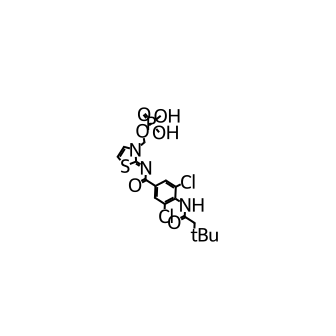 CC(C)(C)CC(=O)Nc1c(Cl)cc(C(=O)/N=c2\sccn2COP(=O)(O)O)cc1Cl